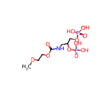 COCCOC(=O)NCC(COP(=O)(O)O)OP(=O)(O)O